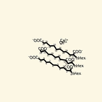 CCCCCCC(CCCCCCCCCC(=O)[O-])C(=O)[O-].CCCCCCC(CCCCCCCCCC(=O)[O-])C(=O)[O-].CCCCCCC(CCCCCCCCCC(=O)[O-])C(=O)[O-].[Ce+3].[Ce+3]